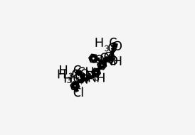 CC(=O)OCCCS(=O)(=O)NC(=O)c1ccc(-c2ccc(NCCN(C[C@H](O)c3cccc(Cl)c3)C(=O)OC(C)(C)C)cc2)cc1OC1CCCCC1